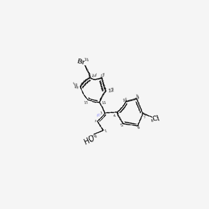 OC/C=C(\c1ccc(Cl)cc1)c1ccc(Br)cc1